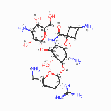 N=C(N)N[C@@H]1CC[C@@H](CN)O[C@@H]1OC1[C@@H](N)C[C@@H](NC(=O)C2(O)CC(N)C2)[C@H](O[C@H]2O[C@H](CO)[C@@H](O)[C@H](N)[C@H]2O)[C@H]1O